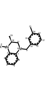 CC(=O)N1c2ccccc2N(Cc2cccc(C)c2)C[C@@H]1C